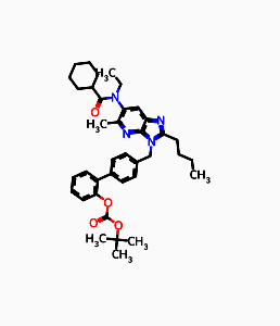 CCCCc1nc2cc(N(CC)C(=O)C3CCCCC3)c(C)nc2n1Cc1ccc(-c2ccccc2OC(=O)OC(C)(C)C)cc1